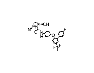 C#C[C@H]1CC[C@@H](C#N)N1C(=O)CNC1CCC(Oc2ccc(C(F)(F)F)cc2-c2ccc(F)cc2)CC1